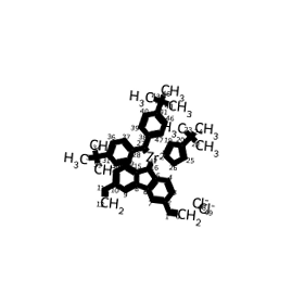 C=Cc1ccc2c(c1)-c1cc(C=C)ccc1[CH]2[Zr+2]([C]1=CC(C(C)(C)C)=CC1)=[C](c1ccc(C(C)(C)C)cc1)c1ccc(C(C)(C)C)cc1.[Cl-].[Cl-]